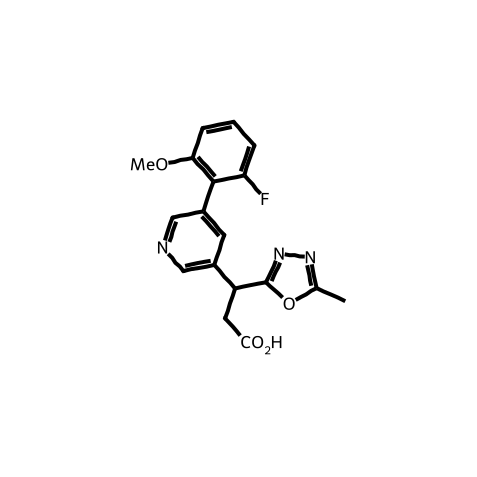 COc1cccc(F)c1-c1cncc(C(CC(=O)O)c2nnc(C)o2)c1